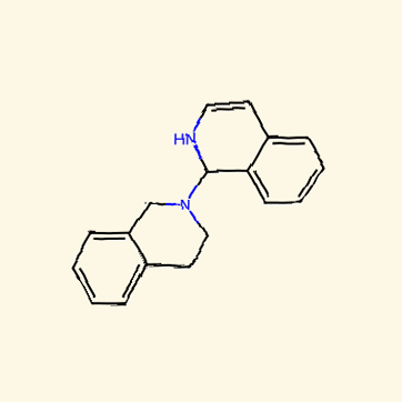 [CH]1c2ccccc2CCN1C1NC=Cc2ccccc21